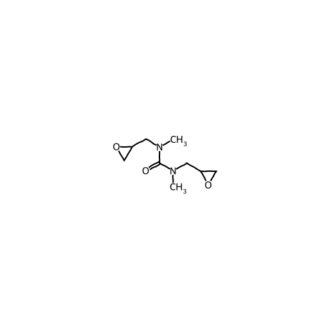 CN(CC1CO1)C(=O)N(C)CC1CO1